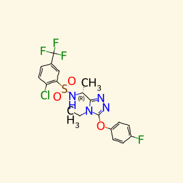 CCn1c(Oc2ccc(F)cc2)nnc1[C@@H](C)NS(=O)(=O)c1cc(C(F)(F)F)ccc1Cl